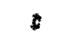 COc1cccc(OC(C)C)c1-c1sc(-c2sc(-c3sc(-c4sc(-c5c(OC)cccc5OC(C)C)c(COC(C)=O)c4COC(C)=O)c(C)c3C)c(C)c2C)c(COC(C)=O)c1COC(C)=O